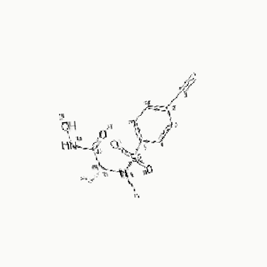 C#Cc1ccc(S(=O)(=O)N(C)[C@H](C)C(=O)NO)cc1